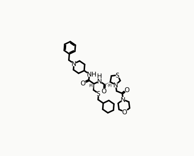 O=C(NC1CCN(Cc2ccccc2)CC1)[C@H](CSCC1CCCCC1)NC(=O)[C@@H]1CSCN1CC(=O)N1CCOCC1